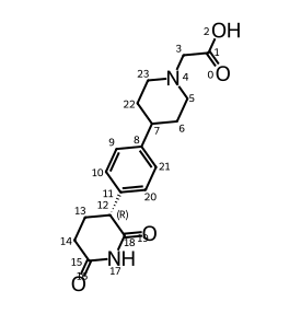 O=C(O)CN1CCC(c2ccc([C@H]3CCC(=O)NC3=O)cc2)CC1